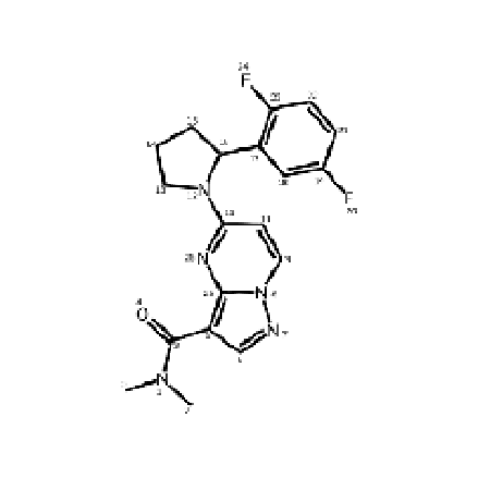 CN(C)C(=O)c1cnn2ccc(N3CCCC3c3cc(F)ccc3F)nc12